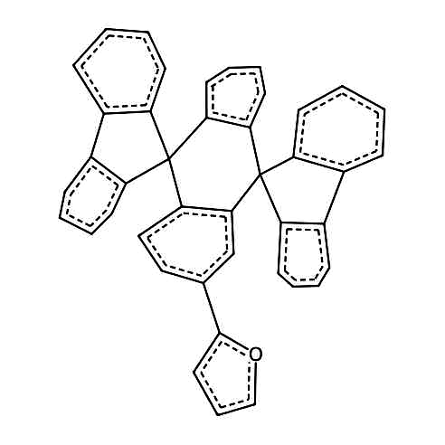 c1coc(-c2ccc3c(c2)C2(c4ccccc4-c4ccccc42)c2ccccc2C32c3ccccc3-c3ccccc32)c1